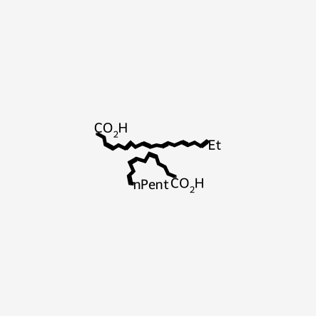 CCC=CCC=CCC=CCC=CCC=CC/C=C\CCC(=O)O.CCCCC/C=C\C/C=C\C/C=C\CCCCC(=O)O